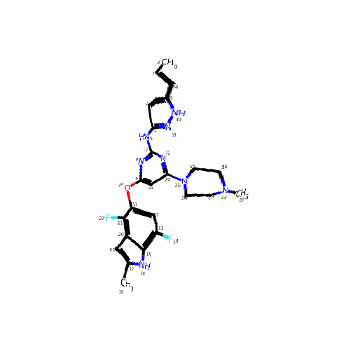 C/C=C/c1cc(Nc2nc(Oc3cc(F)c4[nH]c(C)cc4c3F)cc(N3CCN(C)CC3)n2)n[nH]1